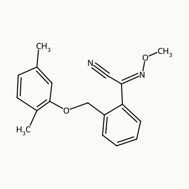 CO/N=C(\C#N)c1ccccc1COc1cc(C)ccc1C